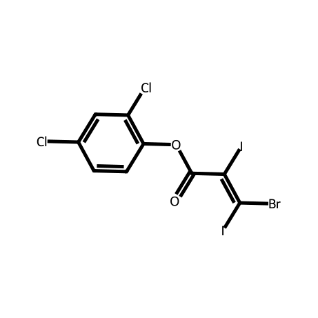 O=C(Oc1ccc(Cl)cc1Cl)C(I)=C(Br)I